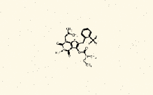 CON(C)C(=O)Oc1c(Cc2ccccc2C(F)(F)F)sc2c1c(=O)n(C)c(=O)n2CC(C)C